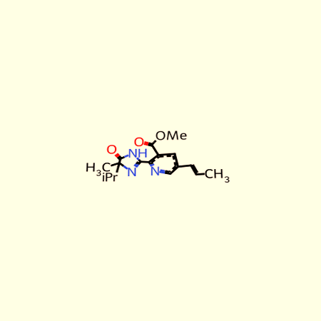 CC=Cc1cnc(C2=NC(C)(C(C)C)C(=O)N2)c(C(=O)OC)c1